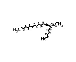 CCCCCCCCCCCCC#CC(OCC)OCCCCO